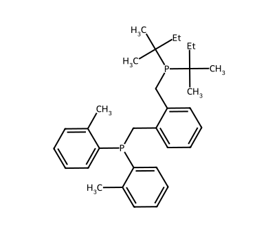 CCC(C)(C)P(Cc1ccccc1CP(c1ccccc1C)c1ccccc1C)C(C)(C)CC